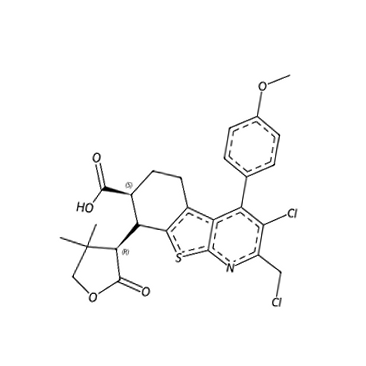 COc1ccc(-c2c(Cl)c(CCl)nc3sc4c(c23)CC[C@H](C(=O)O)C4[C@H]2C(=O)OCC2(C)C)cc1